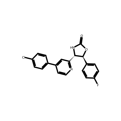 O=C1N[C@@H](c2cc(-c3ccc(Cl)cc3)ccn2)[C@H](c2ccc(F)cc2)O1